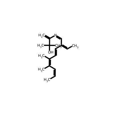 C=C(\N=C/C(=C\C)/C=C/C(C)=C(C)\C=C/C)C(C)(C)O